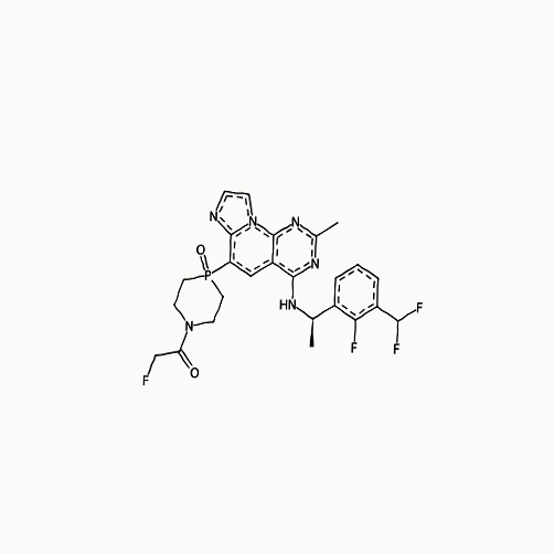 Cc1nc(N[C@H](C)c2cccc(C(F)F)c2F)c2cc(P3(=O)CCN(C(=O)CF)CC3)c3nccn3c2n1